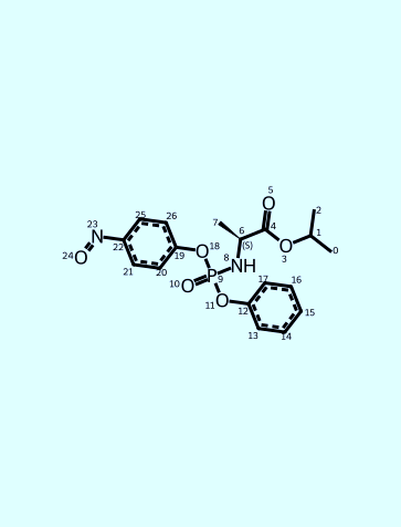 CC(C)OC(=O)[C@H](C)NP(=O)(Oc1ccccc1)Oc1ccc(N=O)cc1